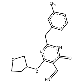 N=Cc1c(NC2CCOC2)nc(Cc2cccc(C(F)(F)F)c2)[nH]c1=O